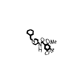 COc1cc(N(C)C)c(Cl)cc1C(=O)NC1CCN(CC2CCCCC2)CC1